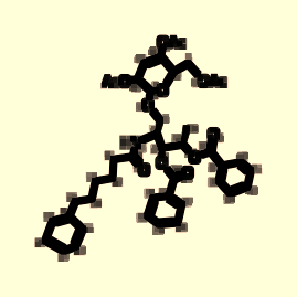 CC(=O)OCC1OC(OC[C@H](NC(=O)CCCCCc2ccccc2)[C@H](OC(=O)c2ccccc2)[C@@H](C)OC(=O)c2ccccc2)C(OC(C)=O)C=C1OC(C)=O